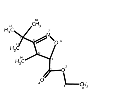 CCOC(=O)C1ON=C(C(C)(C)C)C1C